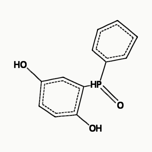 O=[PH](c1ccccc1)c1cc(O)ccc1O